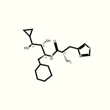 N[C@@H](Cc1cscn1)C(=O)N[C@@H](CC1CCCCC1)[C@@H](O)[C@@H](O)C1CC1